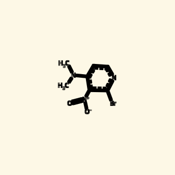 CN(C)c1ccnc(Br)c1[N+](=O)[O-]